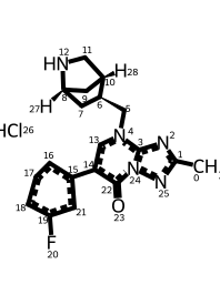 Cc1nc2n(C[C@H]3C[C@H]4C[C@@H]3CN4)cc(-c3cccc(F)c3)c(=O)n2n1.Cl